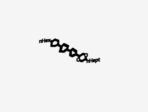 CCCCCCCC1COC(c2ccc(-c3ccc(C4CCC(CCCCCC)CC4)cc3)cc2)CO1